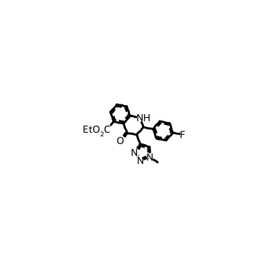 CCOC(=O)c1cccc2c1C(=O)C(c1cn(C)nn1)C(c1ccc(F)cc1)N2